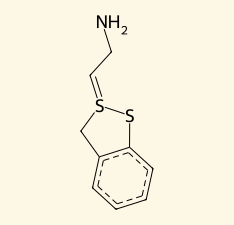 NCC=S1Cc2ccccc2S1